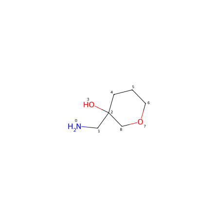 NCC1(O)CCCOC1